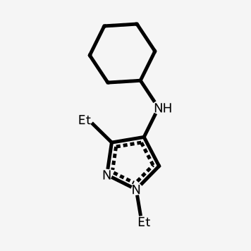 CCc1nn(CC)cc1NC1CCCCC1